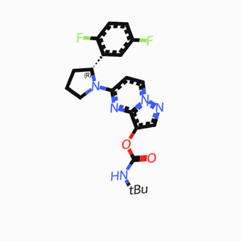 CC(C)(C)NC(=O)Oc1cnn2ccc(N3CCC[C@@H]3c3cc(F)ccc3F)nc12